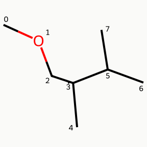 COC[C](C)C(C)C